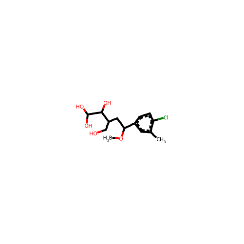 BOC(CC(CO)C(O)C(O)O)c1ccc(Cl)c(C)c1